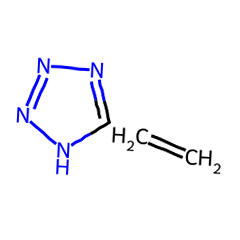 C=C.c1nnn[nH]1